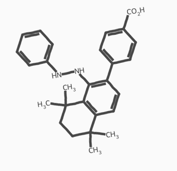 CC1(C)CCC(C)(C)c2c1ccc(-c1ccc(C(=O)O)cc1)c2NNc1ccccc1